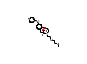 COCCOCCN1CC[C@]23CCCC[C@H]2[C@H]1Cc1ccc(Nc2ccncc2)cc13